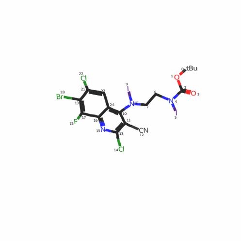 CC(C)(C)OC(=O)N(I)CCN(I)c1c(C#N)c(Cl)nc2c(F)c(Br)c(Cl)cc12